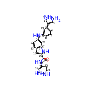 N=C/C(=C\N)c1cccc(Nc2ccc3cc(C(=O)NC4=CNNC=C4)[nH]c3c2)c1